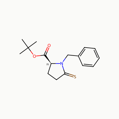 CC(C)(C)OC(=O)[C@@H]1CCC(=S)N1Cc1ccccc1